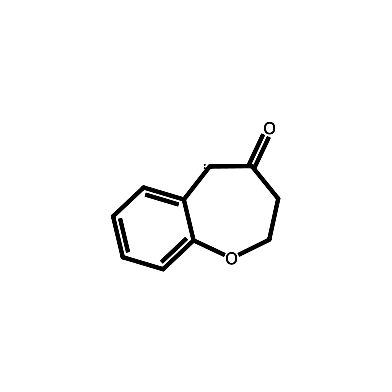 O=C1[C]c2ccccc2OCC1